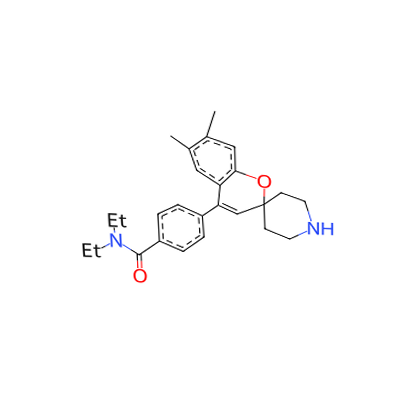 CCN(CC)C(=O)c1ccc(C2=CC3(CCNCC3)Oc3cc(C)c(C)cc32)cc1